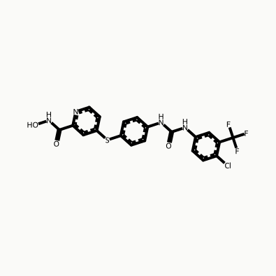 O=C(Nc1ccc(Sc2ccnc(C(=O)NO)c2)cc1)Nc1ccc(Cl)c(C(F)(F)F)c1